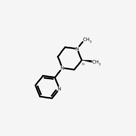 C[C@H]1CN(c2ccccn2)CCN1C